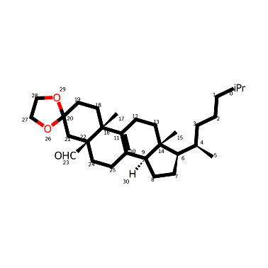 CC(C)CCC[C@@H](C)[C@H]1CC[C@H]2C3=C(CC[C@]12C)[C@@]1(C)CCC2(C[C@@]1(C=O)CC3)OCCO2